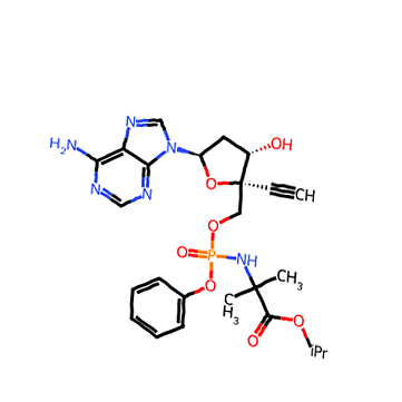 C#C[C@]1(COP(=O)(NC(C)(C)C(=O)OC(C)C)Oc2ccccc2)O[C@@H](n2cnc3c(N)ncnc32)C[C@@H]1O